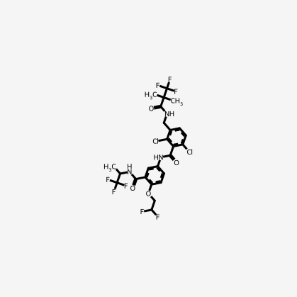 CC(NC(=O)c1cc(NC(=O)c2c(Cl)ccc(CNC(=O)C(C)(C)C(F)(F)F)c2Cl)ccc1OCC(F)F)C(F)(F)F